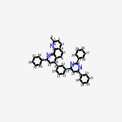 Cc1ccc2ccc3c(-c4cccc(-c5cc(-c6ccccc6)nc(-c6ccccc6)n5)c4)cc(-c4ccccc4)nc3c2n1